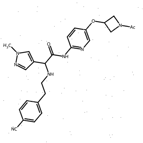 CC(=O)N1CC(Oc2ccc(NC(=O)C(NCCc3ccc(C#N)cc3)c3cnn(C)c3)nc2)C1